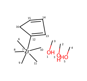 CO.CO.CO.[CH3][Zr]([CH3])([CH3])([CH3])([CH3])[C]1=CC=CC1